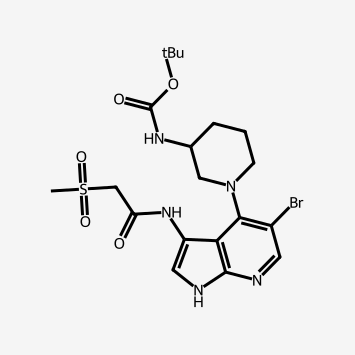 CC(C)(C)OC(=O)NC1CCCN(c2c(Br)cnc3[nH]cc(NC(=O)CS(C)(=O)=O)c23)C1